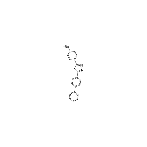 CC(C)(C)c1ccc(C2=NN=C(c3ccc(-c4ccccc4)cc3)C2)cc1